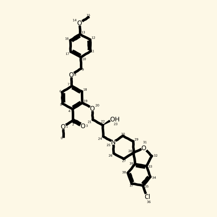 COC(=O)c1ccc(OCc2ccc(OC)cc2)cc1OC[C@@H](O)CN1CCC2(CC1)OCc1cc(Cl)ccc12